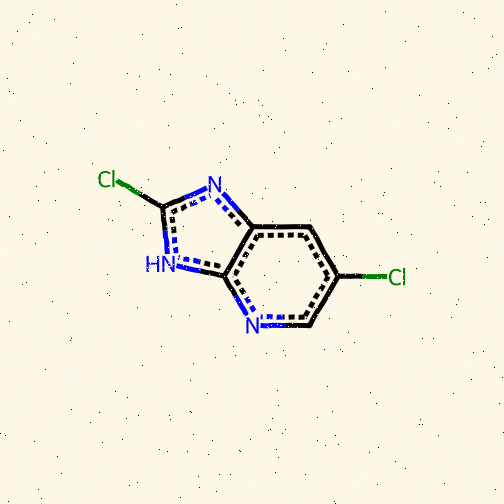 Clc1cnc2[nH]c(Cl)nc2c1